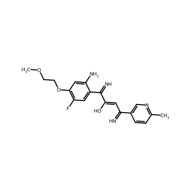 COCCOc1cc(N)c(C(=N)/C(O)=C/C(=N)c2ccc(C)nc2)cc1F